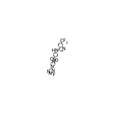 O=S(=O)(c1ccc(Nc2ccnc3cc(C(F)(F)F)ccc23)cc1)N1CCN(c2cnnc(F)n2)CC1